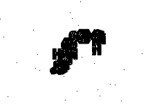 CC1CCN(Cc2nc3cc(Oc4ccc(-c5ccn[nH]5)cc4)ccc3[nH]2)CC1